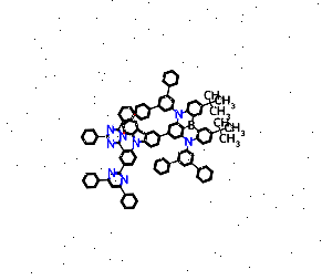 CC(C)(C)c1ccc2c(c1)B1c3cc(C(C)(C)C)ccc3N(c3cc(-c4ccccc4)cc(-c4ccccc4)c3)c3cc(-c4ccc5c(c4)c4ccccc4n5-c4ccc(-c5nc(-c6ccccc6)cc(-c6ccccc6)n5)cc4-c4nc(-c5ccccc5)nc(-c5ccccc5)n4)cc(c31)N2c1cc(-c2ccccc2)cc(-c2ccccc2)c1